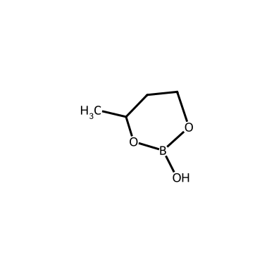 CC1CCOB(O)O1